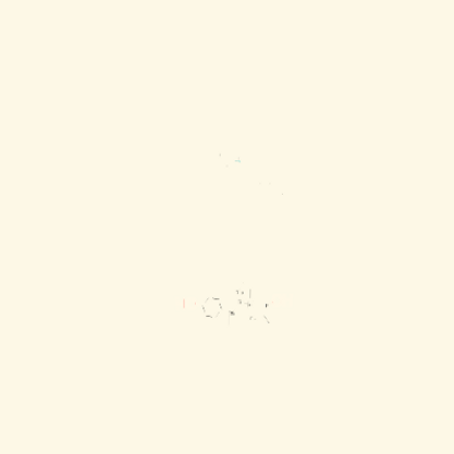 C=C1[C@H](O)C[C@H]2[C@@H]3[C@H](CCCCCCCCCC(CCCC(F)(F)C(F)(F)F)C(=O)O)Cc4cc(O)ccc4[C@H]3CC[C@]12C